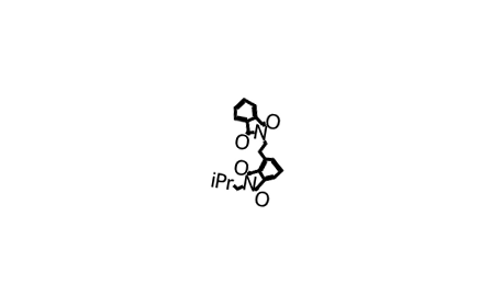 [CH2]C(C)CN1C(=O)c2cccc(CCN3C(=O)c4ccccc4C3=O)c2C1=O